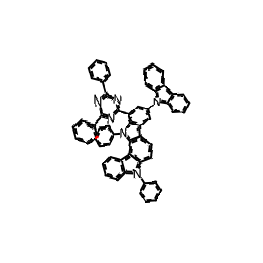 c1ccc(-c2nc(-c3ccccc3)nc(-c3cc(-n4c5ccccc5c5ccccc54)cc4c5ccc6c(c7ccccc7n6-c6ccccc6)c5n(-c5ccccc5)c34)n2)cc1